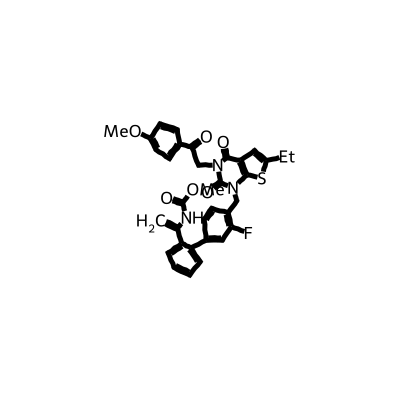 C=C(NC(=O)OC)c1ccccc1-c1ccc(Cn2c(=O)n(CC(=O)c3ccc(OC)cc3)c(=O)c3cc(CC)sc32)c(F)c1